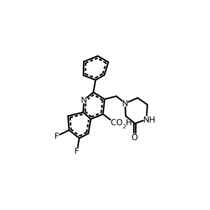 O=C1CN(Cc2c(-c3ccccc3)nc3cc(F)c(F)cc3c2C(=O)O)CCN1